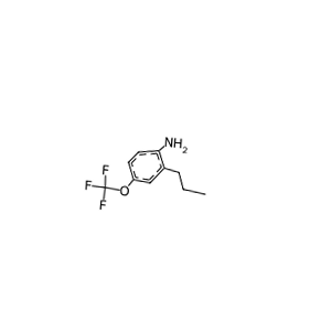 CCCc1cc(OC(F)(F)F)ccc1N